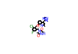 Cc1cc(-c2ncnn2C)c2cccc(OCc3c(Cl)cc(F)cc3[C@H](C)N3C(=O)[C@@H](C)NC(=O)[C@H]3C)c2n1